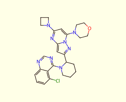 Clc1cccc2ncnc(N3CCCCC3c3cc4nc(N5CCC5)cc(N5CCOCC5)n4n3)c12